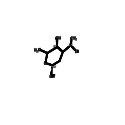 CCN(C)C1C[C@H](O)OC(C)[C@H]1O